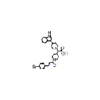 O=C(O)C(C1CCN(C(=O)/C=C/c2ccc(Br)cc2)CC1)N1CCC(c2c[nH]c3ccccc23)CC1